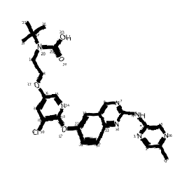 Cc1cnc(Nc2ncc3cc(Oc4ncc(OCCN(C(=O)O)C(C)(C)C)cc4Cl)ccc3n2)cn1